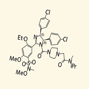 CCOc1cc(OC)c(S(=O)(=O)N(C)OC)cc1C1=N[C@@H](c2ccc(Cl)cc2)[C@@H](c2ccc(Cl)cc2)N1C(=O)N1CCN(CC(=O)N(C)C(C)C)CC1